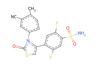 Cc1ccc(-n2c(-c3cc(F)c(S(N)(=O)=O)cc3F)csc2=O)cc1C#N